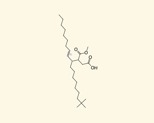 CCCCCCC/C=C/C(CCCCCCCC(C)(C)C)C(CC(=O)O)C(=O)OC